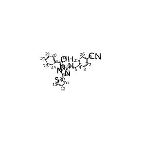 N#Cc1ccc(CNc2nc(-c3cccs3)nn2C(=O)c2ccccc2)cc1